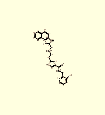 O=C(NCc1ncccc1F)c1coc(CCNCc2nc3c(cnc4ccccc43)[nH]2)n1